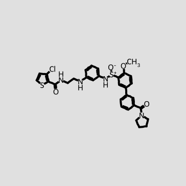 COc1ccc(-c2cccc(C(=O)N3CCCC3)c2)cc1[S+]([O-])Nc1cccc(NCCNC(=O)c2sccc2Cl)c1